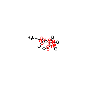 CCC=CCCOc1c(OCc2ccccc2)c2ccc(O[C@@H]3O[C@H](COC(=O)c4ccccc4)[C@@H](OC(=O)c4ccccc4)[C@H](OC(=O)c4ccccc4)[C@H]3OC(=O)c3ccccc3)cc2oc1=O